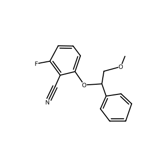 COCC(Oc1cccc(F)c1C#N)c1ccccc1